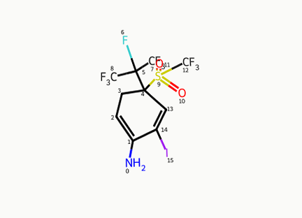 NC1=CCC(C(F)(C(F)(F)F)C(F)(F)F)(S(=O)(=O)C(F)(F)F)C=C1I